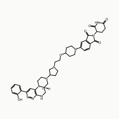 O=C1CCC(N2C(=O)c3ccc(N4CCC(OCCN5CCC(N6CCN7c8cc(-c9ccccc9O)nnc8NC[C@H]7C6)C5)CC4)cc3C2=O)C(=O)N1